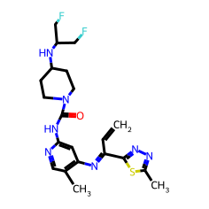 C=C/C(=N\c1cc(NC(=O)N2CCC(NC(CF)CF)CC2)ncc1C)c1nnc(C)s1